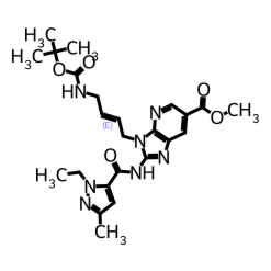 CCn1nc(C)cc1C(=O)Nc1nc2cc(C(=O)OC)cnc2n1C/C=C/CNC(=O)OC(C)(C)C